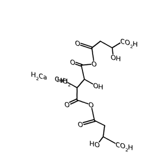 O=C(CC(O)C(=O)O)OC(=O)C(O)C(O)C(=O)OC(=O)CC(O)C(=O)O.[CaH2].[CaH2]